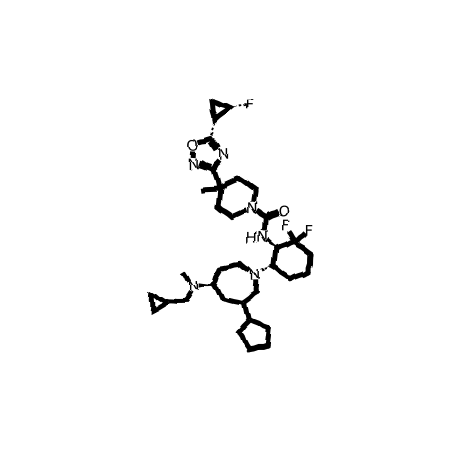 CN(CC1CC1)[C@H]1CCN([C@H]2CCCC(F)(F)[C@@H]2NC(=O)N2CCC(C)(c3noc([C@@H]4C[C@@H]4F)n3)CC2)CC(C2CCCC2)C1